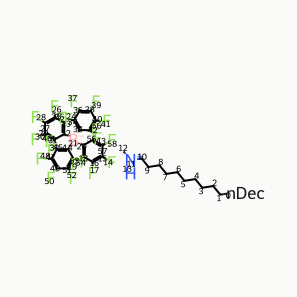 CCCCCCCCCCCCCCCCCCCC[NH+](C)C.Fc1c(F)c(F)c([B-](c2c(F)c(F)c(F)c(F)c2F)(c2c(F)c(F)c(F)c(F)c2F)c2c(F)c(F)c(F)c(F)c2F)c(F)c1F